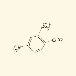 O=Cc1ccc([N+](=O)[O-])cc1S(=O)(=O)O